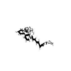 CCCCCCCCCCCCCCCC[n+]1cccc([C@@H]2CCC[N+]2(C)C)c1